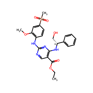 CCOC(=O)c1cnc(Nc2ccc(S(C)(=O)=O)cc2OC)nc1N[C@H](CO)c1ccccc1